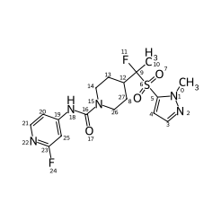 Cn1nccc1S(=O)(=O)C(C)(F)C1CCN(C(=O)Nc2ccnc(F)c2)CC1